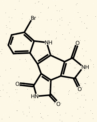 O=c1[nH]c(=O)c2c1c1[nH]c3c(Br)cccc3c1c1c(=O)[nH]c(=O)c21